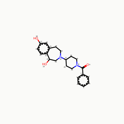 O=C(c1ccccc1)N1CCC(N2CCc3cc(O)ccc3C(O)C2)CC1